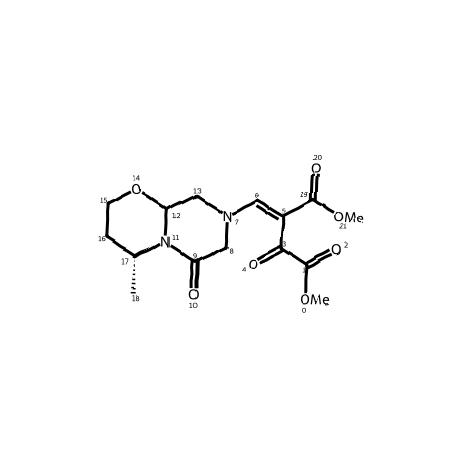 COC(=O)C(=O)/C(=C\N1CC(=O)N2C(C1)OCC[C@H]2C)C(=O)OC